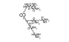 N=C(N)NCCCC[C@@H](N)C(=O)NCCCN(CCCNC(=O)[C@H](N)CCCCNC(=N)N)CCOc1ccc(CCCCNC(=N)NC(=O)c2nc(Cl)c(N)nc2N)c2ccccc12